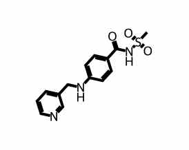 CS(=O)(=O)NC(=O)c1ccc(NCc2cccnc2)cc1